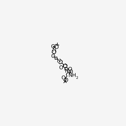 COc1c(C2CCN([C@H]3C[C@H](OC4CCN(C(=O)OC(C)(C)C)CC4)C3)CC2)ccc2c1CN(C(CCC(=O)OC(C)(C)C)C(N)=O)C2=O